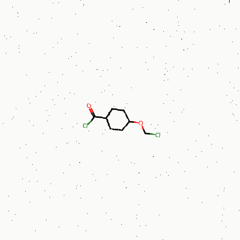 O=C(Cl)C1CCC(OCCl)CC1